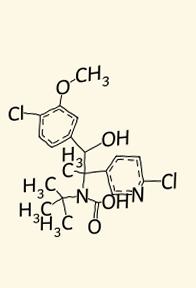 COc1cc(C(O)C(C)(c2ccc(Cl)nc2)N(C(=O)O)C(C)(C)C)ccc1Cl